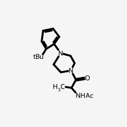 CC(=O)NC(C)C(=O)N1CCN(c2ccccc2C(C)(C)C)CC1